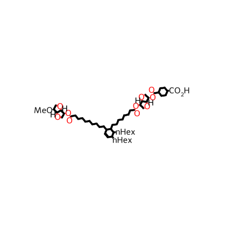 CCCCCCC1C=CC(CCCCCCCCCC(=O)O[C@H]2CO[C@H]3[C@@H]2OC[C@H]3OC)C(CCCCCCCC(=O)OC2CO[C@@H]3[C@@H](OC(=O)C4CCC(C(=O)O)CC4)CO[C@H]23)C1CCCCCC